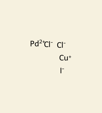 [Cl-].[Cl-].[Cu+].[I-].[Pd+2]